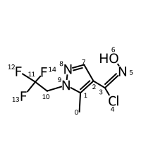 Cc1c(/C(Cl)=N\O)cnn1CC(F)(F)F